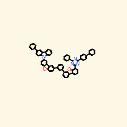 c1ccc(-c2ccc(-c3nc(-c4ccccc4)nc(-c4cccc5c4oc4c(-c6cccc(-c7ccc8oc9ccc(-n%10c%11ccccc%11c%11cc(-c%12ccccc%12)ccc%11%10)cc9c8c7)c6)cccc45)n3)cc2)cc1